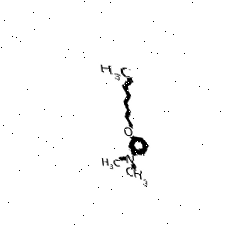 CCCCCCCCOc1cccc(N(CC)CC)c1